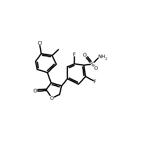 Cc1cc(C2=C(c3cc(F)c(S(N)(=O)=O)c(F)c3)COC2=O)ccc1Cl